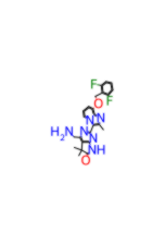 Cc1nc2c(OCc3c(F)cccc3F)cccn2c1-c1nc(CN)c2c(n1)NC(=O)C2(C)C